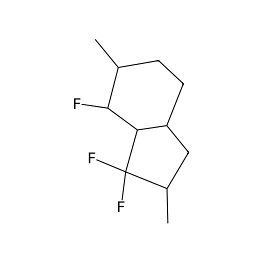 CC1CCC2CC(C)C(F)(F)C2C1F